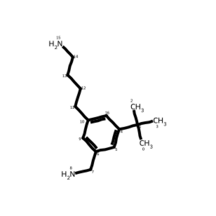 CC(C)(C)c1cc(CN)cc(CCCCN)c1